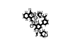 CCN(c1cc(-c2cccc(C(C)N3CCCC3)c2)cc(C(=O)NCc2c3c(c(C)[nH]c2=O)CCCC3)c1C)C1CCOCC1